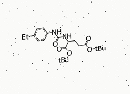 CCc1ccc(NC(=O)N[C@@H](CCC(=O)OC(C)(C)C)C(=O)OC(C)(C)C)cc1